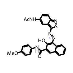 COc1ccc(NC(=O)c2cc3ccccc3c(/N=N/c3snc4ccc(NC(C)=O)cc34)c2O)cc1